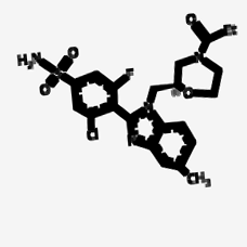 CCC(=O)N1CCO[C@@H](Cn2c(-c3c(F)cc(S(N)(=O)=O)cc3Cl)nc3cc(C)ccc32)C1